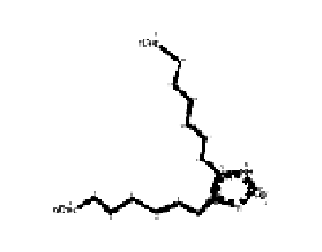 Br.CCCCCCCCCCCCCCCCc1nc[nH]c1CCCCCCCCCCCCCCCC